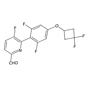 O=Cc1ccc(F)c(-c2c(F)cc(OC3CC(F)(F)C3)cc2F)n1